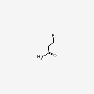 [CH2]C[CH]CC(C)=O